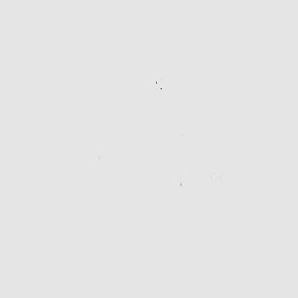 CCC(C#N)(C(=O)O)C(c1ccccc1OC)c1cccc2ccccc12